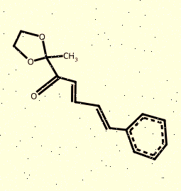 CC1(C(=O)C=CC=Cc2ccccc2)OCCO1